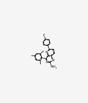 Cc1cc(C)c(-c2nc(N)nc3ccc(-c4ccc(F)cc4)nc23)c(C)c1